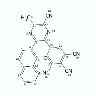 Cc1nc2c3ccc4ccccc4c3c3c(C#N)c(C#N)c(C#N)cc3c2nc1C#N